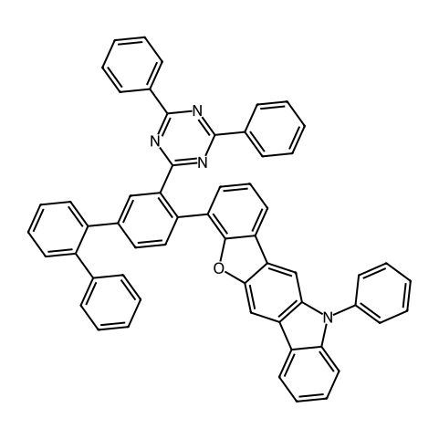 c1ccc(-c2nc(-c3ccccc3)nc(-c3cc(-c4ccccc4-c4ccccc4)ccc3-c3cccc4c3oc3cc5c6ccccc6n(-c6ccccc6)c5cc34)n2)cc1